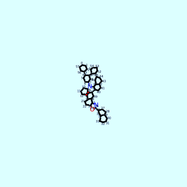 c1ccc(-c2ccc(N(c3ccccc3)c3c(-c4ccc5ccc6oc(-c7ccc8ccccc8c7)nc6c5c4)ccc4ccccc34)cc2-c2ccccc2)cc1